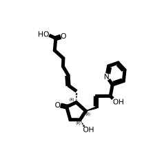 O=C(O)CCCC=CC[C@H]1C(=O)C[C@@H](O)[C@@H]1C=CC(O)c1ccccn1